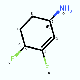 N[C@H]1C=C(F)[C@@H](F)CC1